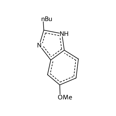 CCCCc1nc2cc(OC)ccc2[nH]1